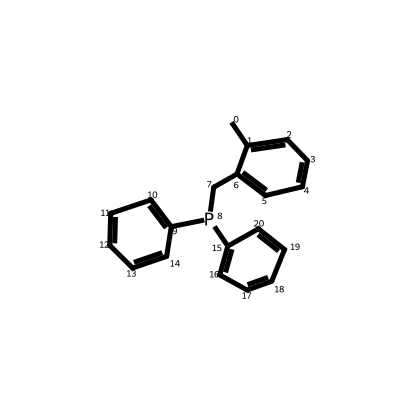 Cc1ccccc1CP(c1ccccc1)c1ccccc1